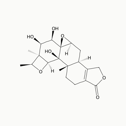 C[C@@H]1O[C@H]2[C@]1(C)[C@@H](O)[C@@H](O)[C@]13O[C@H]1C[C@H]1C4=C(CC[C@]1(C)[C@]23O)C(=O)OC4